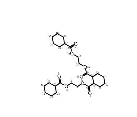 O=C(OCCOC(=O)C1CCCCC1C(=O)OCCOC(=O)C1CCCCC1)C1CCCCC1